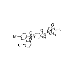 C[C@H](/C=C\[S@](C)(=N)=O)NC(=O)C1(F)CCN(S(=O)(=O)c2ccc(Br)cc2-c2ccccc2Cl)CC1